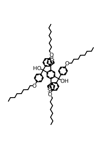 CCCCCCCCOc1ccc(C(O)(c2ccc(OCCCCCCCC)cc2)c2cc(-c3ccsc3)c(C(O)(c3ccc(OCCCCCCCC)cc3)c3ccc(OCCCCCCCC)cc3)cc2-c2ccsc2)cc1